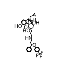 Oc1ccc2c3c1OC1[C@](O)(CCCNCCC(Oc4ccc(C(F)(F)F)cc4)c4ccccc4)CC[C@@]4(O)[C@@H](C2)N(CC2CC2)CC[C@]314